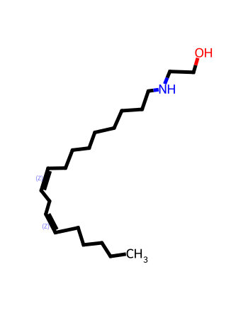 CCCCC/C=C\C/C=C\CCCCCCCCNCCO